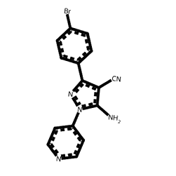 N#Cc1c(-c2ccc(Br)cc2)nn(-c2ccncc2)c1N